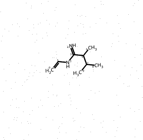 C=CNC(=N)C(C)C(C)C